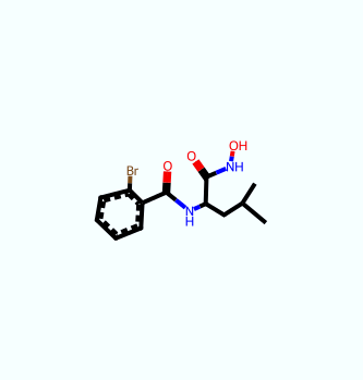 CC(C)CC(NC(=O)c1ccccc1Br)C(=O)NO